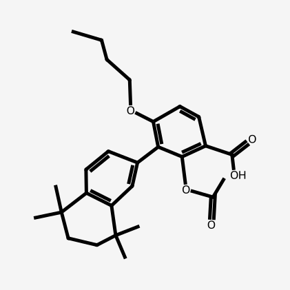 CCCCOc1ccc(C(=O)O)c(OC(C)=O)c1-c1ccc2c(c1)C(C)(C)CCC2(C)C